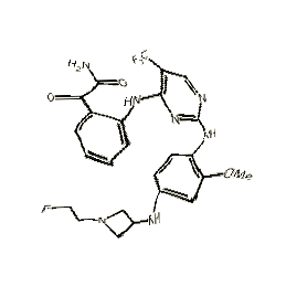 COc1cc(NC2CN(CCF)C2)ccc1Nc1ncc(C(F)(F)F)c(Nc2ccccc2C(=O)C(N)=O)n1